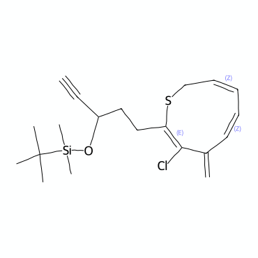 C#CC(CC/C1=C(\Cl)C(=C)/C=C\C=C/CS1)O[Si](C)(C)C(C)(C)C